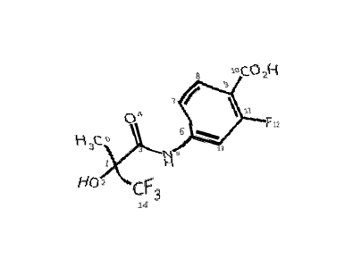 CC(O)(C(=O)Nc1ccc(C(=O)O)c(F)c1)C(F)(F)F